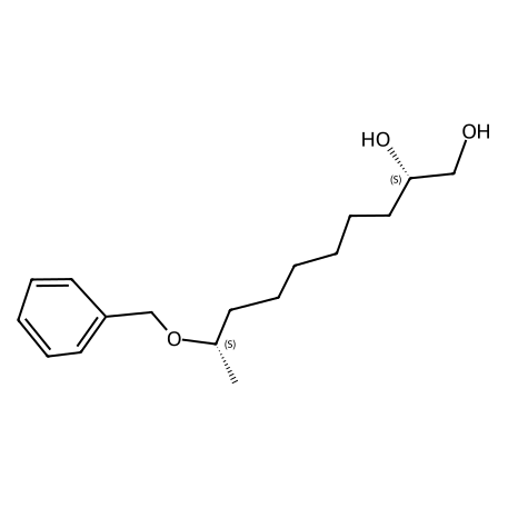 C[C@@H](CCCCCC[C@H](O)CO)OCc1ccccc1